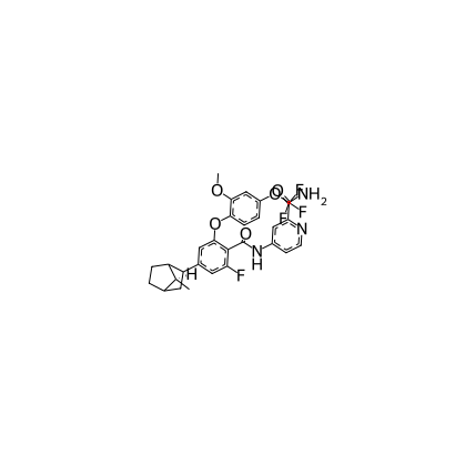 COc1cc(OC(F)(F)F)ccc1Oc1cc(C2CC3CCC2[C@H]3C)cc(F)c1C(=O)Nc1ccnc(C(N)=O)c1